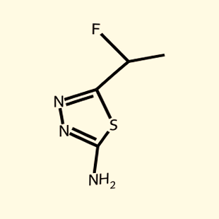 CC(F)c1nnc(N)s1